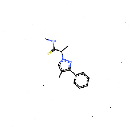 CNC(=S)C(C)n1cc(C)c(-c2ccccc2)n1